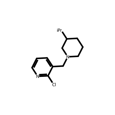 CC(C)C1CCCN(Cc2cccnc2Cl)C1